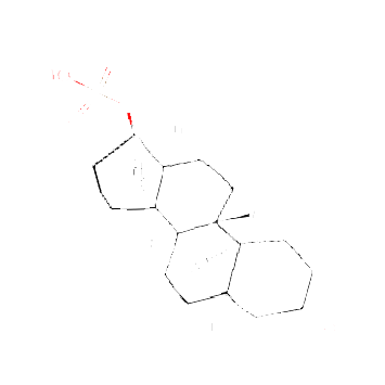 C[C@]12CC[C@H]3[C@@H](CC[C@@H]4C[C@@H](O)CC[C@@]43C)[C@H]1CC[C@H]2OS(=O)(=O)O